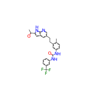 CC(=O)c1cc2cc(CCc3cc(NC(=O)Nc4cccc(C(F)(F)F)c4)ccc3C)cnc2[nH]1